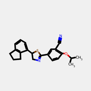 CC(C)Oc1ccc(C2=NCC(c3cccc4c3CCC4)S2)cc1C#N